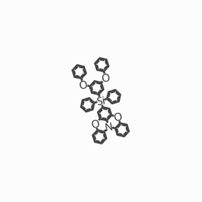 c1ccc(Oc2cc(Oc3ccccc3)cc([Si](c3ccccc3)(c3ccccc3)c3cc4c5c(c3)Oc3ccccc3N5c3ccccc3O4)c2)cc1